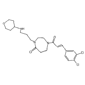 O=C(C=Cc1ccc(Cl)c(Cl)c1)N1CCC(=O)N(CCCNC2CCOCC2)CC1